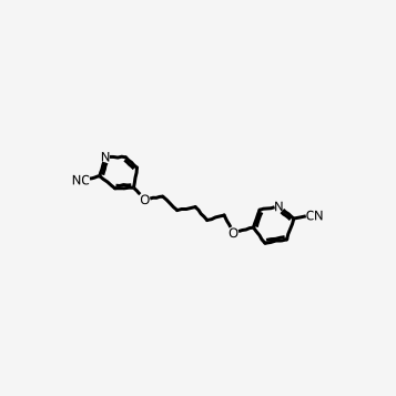 N#Cc1ccc(OCCCCCOc2ccnc(C#N)c2)cn1